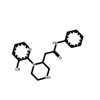 N#Cc1cccnc1N1CCNCC1CC(=O)Nc1ccccc1